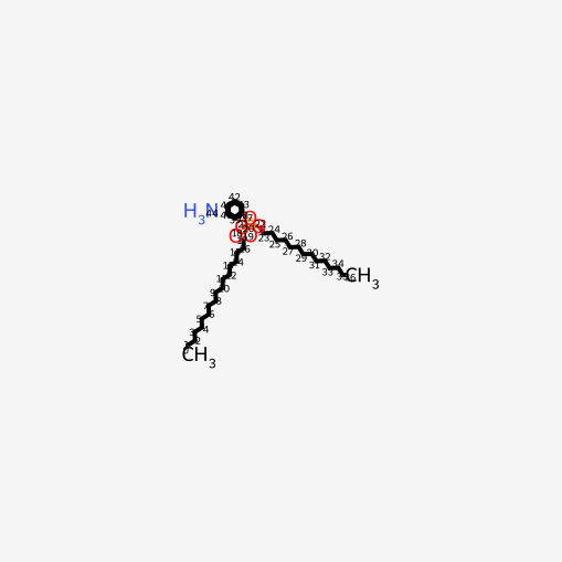 CCCCCCCCCCCCCCCCCC(=O)OP(=O)(OCCCCCCCCCCCCCC)Oc1ccccc1.N